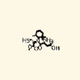 COC(=O)[C@H](CS)N(C(=O)[C@@H](N)CC(=O)O)C1[C@@H](C)CCCC1(C)C